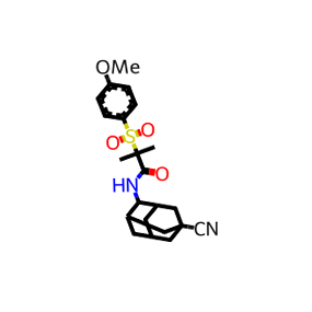 COc1ccc(S(=O)(=O)C(C)(C)C(=O)NC2C3CC4CC2CC(C#N)(C4)C3)cc1